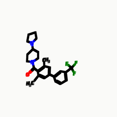 Cc1cc(-c2cccc(C(F)(F)F)c2)cc(C)c1C(=O)N1CCC(N2CCCC2)CC1